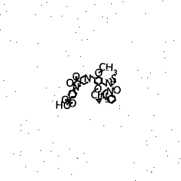 CCOc1cc(CN2CSC[C@@H]2C(=O)N2CCN(C3CC3)c3ccccc32)c(OCC)cc1CN1CCC2(CC1)CN(c1ccc(S(=O)(=O)O)cc1)C(=O)C2=O